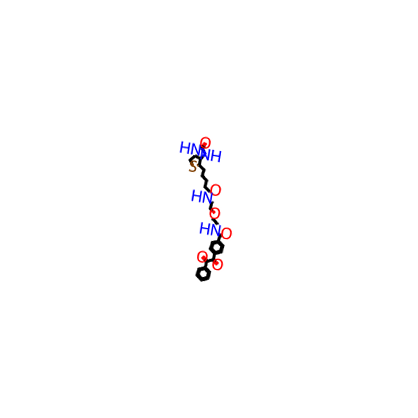 O=C(CCCCC1SCC2NC(=O)NC21)NCCOCCNC(=O)c1ccc(C(=O)C(=O)c2ccccc2)cc1